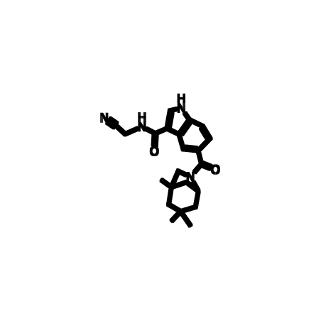 CC1(C)CC2CC(C)(CN2C(=O)c2ccc3[nH]cc(C(=O)NCC#N)c3c2)C1